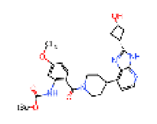 CC(C)(C)OC(=O)Nc1cc(OC(F)(F)F)ccc1C(=O)N1CCC(c2ccnc3[nH]c([C@H]4C[C@@H](O)C4)nc23)CC1